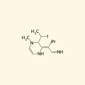 CC(C)/C(C=N)=C1/NC=CN(C)C1C(C)I